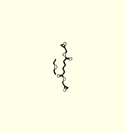 CCOCC.O=C(CCCCC(=O)OCC1CO1)OCC1CO1